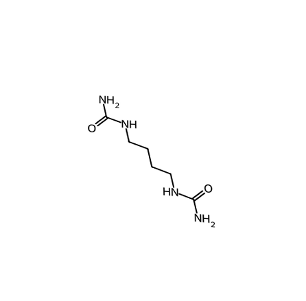 NC(=O)NCCCCNC(N)=O